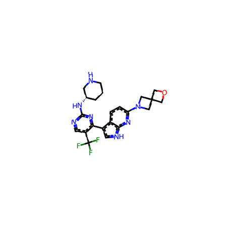 FC(F)(F)c1cnc(N[C@H]2CCCNC2)nc1-c1c[nH]c2nc(N3CC4(COC4)C3)ccc12